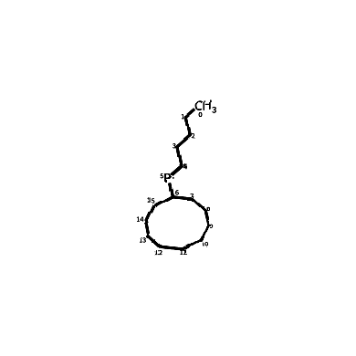 CCCCC[P]C1CCCCCCCCC1